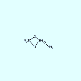 NO[SiH]1O[SiH2]O1